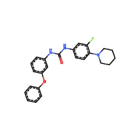 O=C(Nc1cccc(Oc2ccccc2)c1)Nc1ccc(N2CCCCC2)c(F)c1